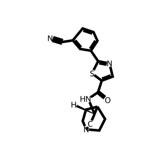 N#Cc1cccc(-c2ncc(C(=O)N[C@H]3CN4CCC3CC4)s2)c1